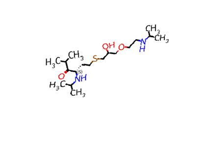 CC(C)NCCOCC(O)CSCC[C@H](NC(C)C)C(=O)C(C)C